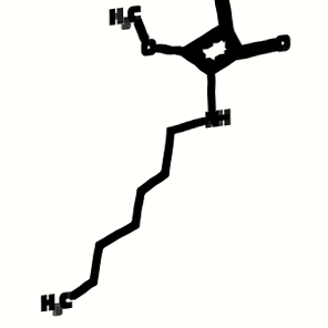 CCCCCCCNc1c(OC)c(=O)c1=O